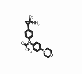 CCC1(N)CC1c1ccc(N(C(=O)C(F)(F)F)c2ccc(N3CCOCC3)cc2)cc1